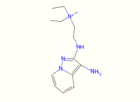 CC[N+](C)(CC)CCNc1nn2ccccc2c1N